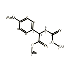 CCCCOC(=O)C(NC(=O)OC(C)(C)C)c1ccc(OC)cc1